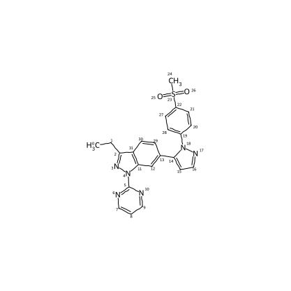 CCc1nn(-c2ncccn2)c2cc(-c3ccnn3-c3ccc(S(C)(=O)=O)cc3)ccc12